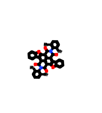 CC(C)c1cccc(C(C)C)c1N1C(=O)c2c3oc4ccccc4c3c3c4c(c5oc6ccccc6c5c(c24)C1=O)C(=O)N(c1c(C(C)C)cccc1C(C)C)C3=O